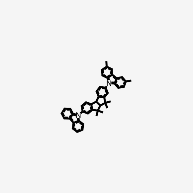 Cc1ccc2c(c1)c1cc(C)ccc1n2-c1ccc2c(c1)C(C)(C)C1C2c2ccc(-n3c4ccccc4c4ccccc43)cc2C1(C)C